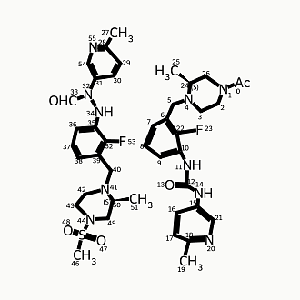 CC(=O)N1CCN(Cc2cccc(NC(=O)Nc3ccc(C)nc3)c2F)[C@@H](C)C1.Cc1ccc(N(C=O)Nc2cccc(CN3CCN(S(C)(=O)=O)C[C@@H]3C)c2F)cn1